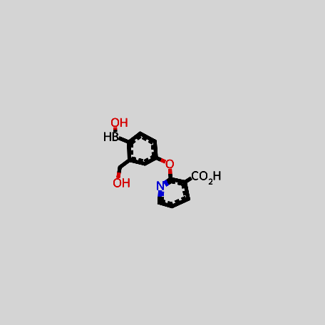 O=C(O)c1cccnc1Oc1ccc(BO)c(CO)c1